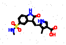 CNS(=O)(=O)c1ccc2c(c1)/C(=C/c1[nH]cc(C(=O)O)c1C)C(=O)N2